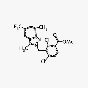 COC(=O)c1ccc(Cl)c(Cn2nc3c(C)cc(C(F)(F)F)cc3c2C)c1Cl